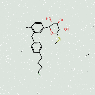 CS[C@H]1OC(c2ccc(C)c(Cc3ccc(CCCCCl)cc3)c2)[C@H](O)[C@@H](O)[C@@H]1O